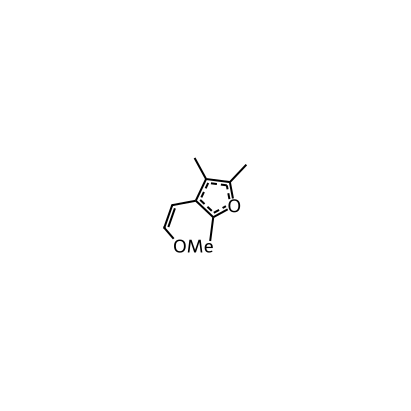 CO/C=C\c1c(C)oc(C)c1C